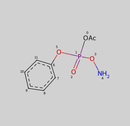 CC(=O)OP(=O)(ON)Oc1ccccc1